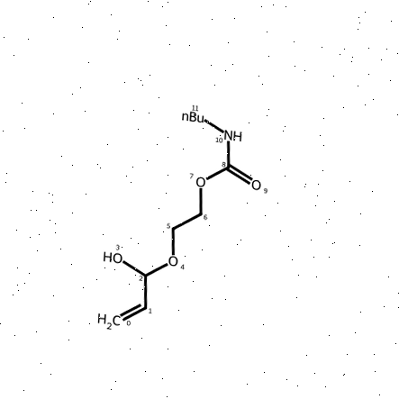 C=CC(O)OCCOC(=O)NCCCC